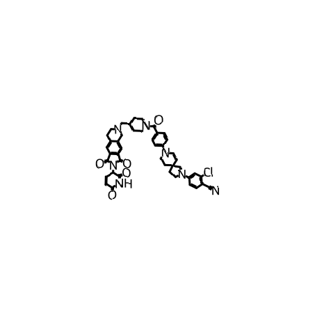 N#Cc1ccc(N2CCC3(CCN(c4ccc(C(=O)N5CCC(CN6CCc7cc8c(cc7C6)C(=O)N(C6CCC(=O)NC6=O)C8=O)CC5)cc4)CC3)C2)cc1Cl